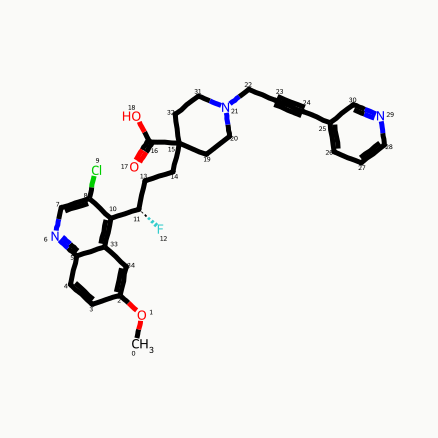 COc1ccc2ncc(Cl)c([C@@H](F)CCC3(C(=O)O)CCN(CC#Cc4cccnc4)CC3)c2c1